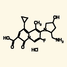 Cc1c(N2CC(O)CC2CN)c(F)cn2c(=O)c(C(=O)O)cc(C3CC3)c12.Cl